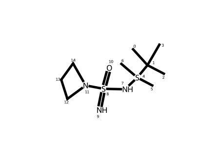 CC(C)(C)S(C)(C)NS(=N)(=O)N1CCC1